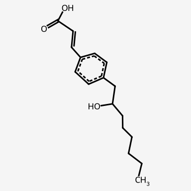 CCCCCCC(O)Cc1ccc(C=CC(=O)O)cc1